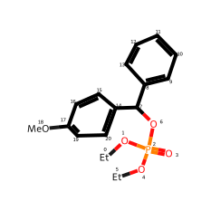 CCOP(=O)(OCC)OC(c1ccccc1)c1ccc(OC)cc1